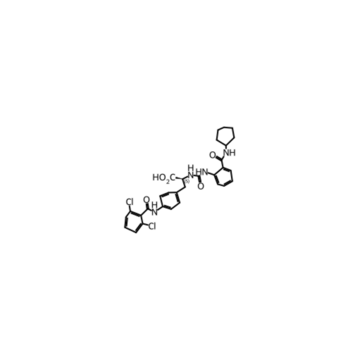 O=C(Nc1ccccc1C(=O)NC1CCCCC1)N[C@@H](Cc1ccc(NC(=O)c2c(Cl)cccc2Cl)cc1)C(=O)O